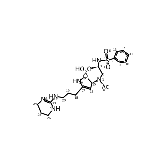 CC(=O)N(C[C@H](NS(=O)(=O)c1ccccc1)C(=O)O)[C@H]1C=C(CCCNC2=NCCCN2)NO1